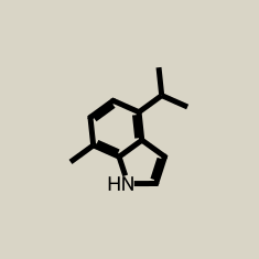 Cc1ccc(C(C)C)c2cc[nH]c12